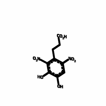 O=C(O)CCc1c([N+](=O)[O-])cc(O)c(O)c1[N+](=O)[O-]